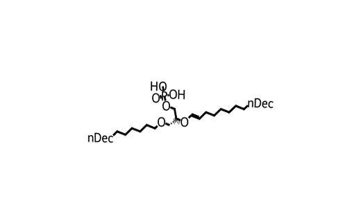 CCCCCCCCCCCCCCCCC=CO[C@H](COCCCCCCCCCCCCCCCC)COP(=O)(O)O